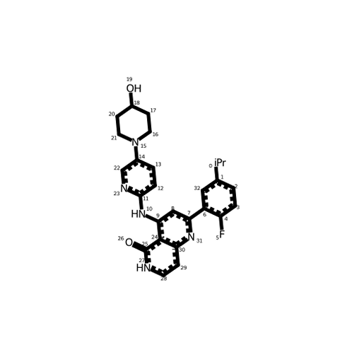 CC(C)c1ccc(F)c(-c2cc(Nc3ccc(N4CCC(O)CC4)cn3)c3c(=O)[nH]ccc3n2)c1